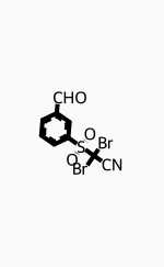 N#CC(Br)(Br)S(=O)(=O)c1cccc(C=O)c1